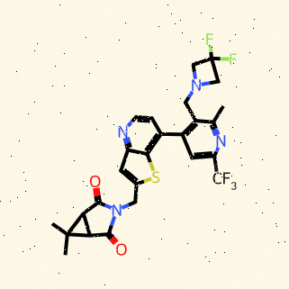 Cc1nc(C(F)(F)F)cc(-c2ccnc3cc(CN4C(=O)C5C(C4=O)C5(C)C)sc23)c1CN1CC(F)(F)C1